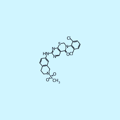 CS(=O)(=O)N1CCc2ccc(Nc3ncc4c(n3)SCN(c3c(Cl)cccc3Cl)C4=O)cc2C1